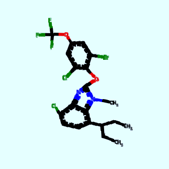 CCC(CC)c1ccc(Cl)c2nc(Oc3c(Cl)cc(OC(F)(F)F)cc3Br)n(C)c12